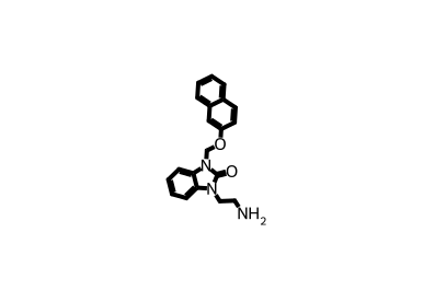 NCCn1c(=O)n(COc2ccc3ccccc3c2)c2ccccc21